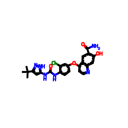 CC(C)(C)c1cc(NC(=O)Nc2ccc(Oc3ccnc4cc(O)c(C(N)=O)cc34)cc2Cl)[nH]n1